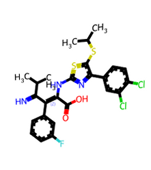 CC(C)Sc1sc(N/C(C(=O)O)=C(\C(=N)C(C)C)c2cccc(F)c2)nc1-c1ccc(Cl)c(Cl)c1